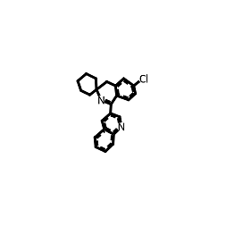 Clc1ccc2c(c1)CC1(CCCCC1)N=C2c1cnc2ccccc2c1